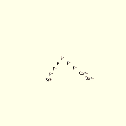 [Ba+2].[Ca+2].[F-].[F-].[F-].[F-].[F-].[F-].[Sr+2]